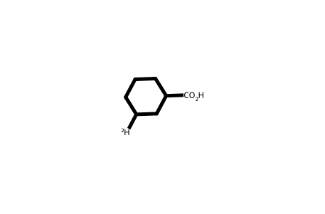 [2H]C1CCCC(C(=O)O)C1